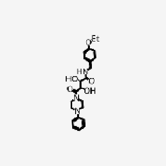 CCOc1ccc(CNC(=O)[C@H](O)[C@@H](O)C(=O)N2CCN(c3ccccc3)CC2)cc1